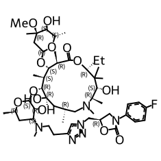 CC[C@H]1OC(=O)[C@H](C)[C@@H](O[C@H]2C[C@@](C)(OC)[C@@H](O)[C@H](C)O2)[C@H](C)[C@@H](O[C@@H]2O[C@H](C)C[C@H](N(C)CCc3cn(C[C@H]4CN(c5ccc(F)cc5)C(=O)O4)nn3)[C@H]2O)[C@](C)(O)C[C@@H](C)CN(C)[C@H](C)[C@@H](O)C1(C)C